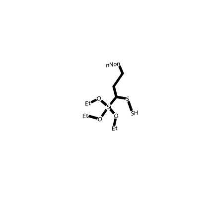 CCCCCCCCCCCC(SS)[Si](OCC)(OCC)OCC